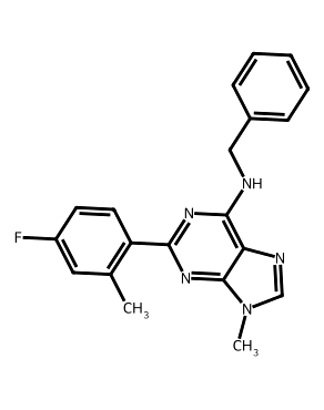 Cc1cc(F)ccc1-c1nc(NCc2ccccc2)c2ncn(C)c2n1